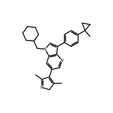 CC1=NCC(C)=C1c1cnc2c(-c3ccc(C4(C)CC4)cc3)cn(CC3CCCCC3)c2c1